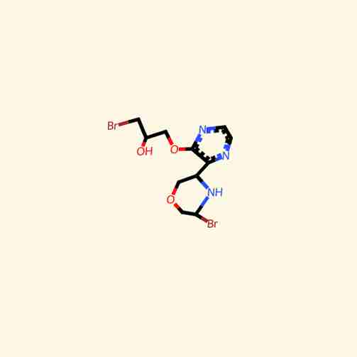 OC(CBr)COc1nccnc1C1COCC(Br)N1